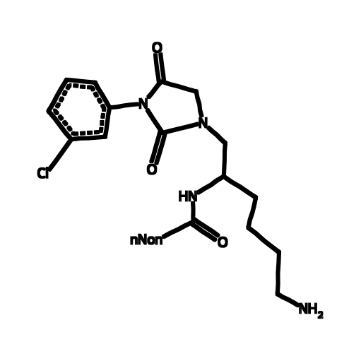 CCCCCCCCCC(=O)NC(CCCCN)CN1CC(=O)N(c2cccc(Cl)c2)C1=O